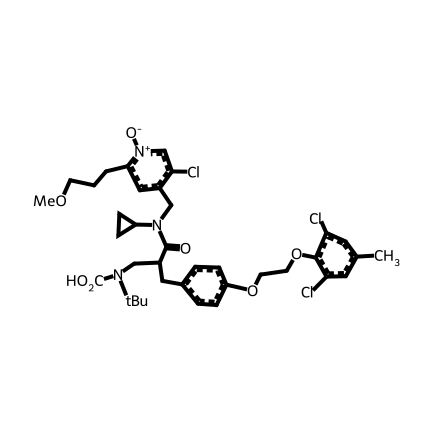 COCCCc1cc(CN(C(=O)C(Cc2ccc(OCCOc3c(Cl)cc(C)cc3Cl)cc2)CN(C(=O)O)C(C)(C)C)C2CC2)c(Cl)c[n+]1[O-]